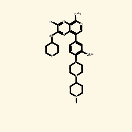 CCc1nc2c(NC)ncc(-c3ccc(N4CCN(C5CCN(C)CC5)CC4)c(OC)c3)c2nc1NC1CCOCC1